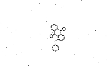 O=C1c2ccccc2C(=O)c2c(Cc3ccccc3)cccc21